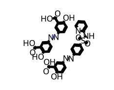 O=C(O)c1cc(/N=N/c2ccc(O)c(C(=O)O)c2)ccc1O.O=C(O)c1cc(N=Nc2ccc(S(=O)(=O)Nc3ccccn3)cc2)ccc1O